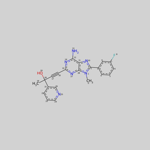 Cn1c(-c2cccc(F)c2)nc2c(N)nc(C#CC(C)(O)c3cccnc3)nc21